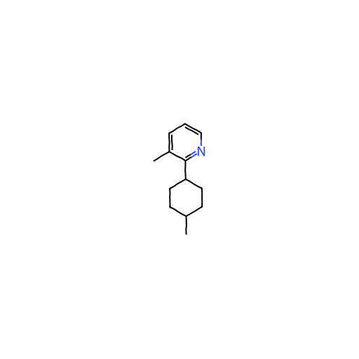 Cc1cccnc1C1CCC(C)CC1